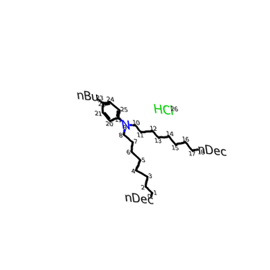 CCCCCCCCCCCCCCCCCCN(CCCCCCCCCCCCCCCCCC)c1ccc(CCCC)cc1.Cl